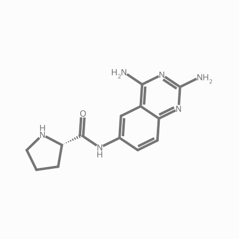 Nc1nc(N)c2cc(NC(=O)[C@@H]3CCCN3)ccc2n1